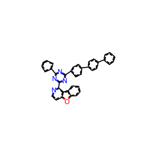 c1ccc(-c2ccc(-c3ccc(-c4nc(-c5ccccc5)nc(-c5nccc6oc7ccccc7c56)n4)cc3)cc2)cc1